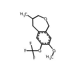 COc1cc2c(cc1OC(F)(F)F)CC(C)COC2